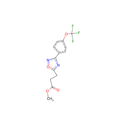 COC(=O)CCc1nc(-c2ccc(OC(F)(F)F)cc2)no1